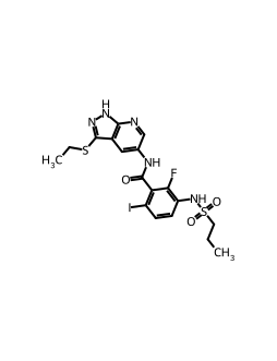 CCCS(=O)(=O)Nc1ccc(I)c(C(=O)Nc2cnc3[nH]nc(SCC)c3c2)c1F